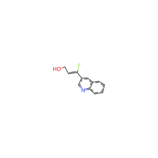 OC/C=C(\F)c1cnc2ccccc2c1